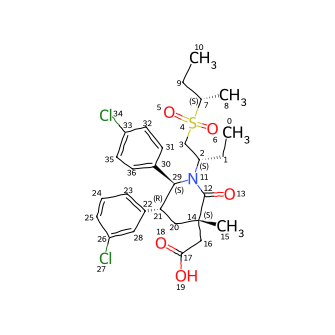 CC[C@@H](CS(=O)(=O)[C@@H](C)CC)N1C(=O)[C@](C)(CC(=O)O)C[C@H](c2cccc(Cl)c2)[C@H]1c1ccc(Cl)cc1